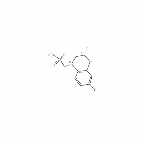 CC[C@H]1C[C@@H](CS(N)(=O)=O)c2ccc(F)cc2O1